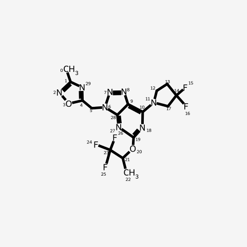 Cc1noc(Cn2nnc3c(N4CCC(F)(F)C4)nc(OC(C)C(F)(F)F)nc32)n1